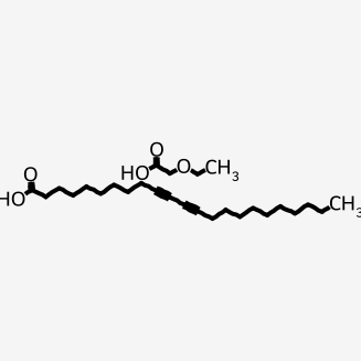 CCCCCCCCCCC#CC#CCCCCCCCCC(=O)O.CCOCC(=O)O